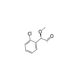 CO[C@@H]([C]=O)c1ccccc1Cl